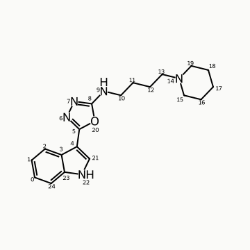 c1ccc2c(-c3nnc(NCCCCN4CCCCC4)o3)c[nH]c2c1